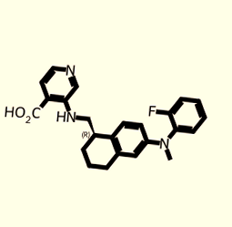 CN(c1ccc2c(c1)CCC[C@H]2CNc1cnccc1C(=O)O)c1ccccc1F